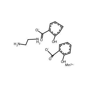 NCCN.O=C([O-])c1ccccc1O.O=C([O-])c1ccccc1O.[Mn+2]